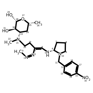 C/N=N\C(=C/N[C@@H]1CCCN1Cc1ccc([N+](=O)[O-])cc1)CCN(C)[C@H]1C[C@@H](C)O[C@@H](O)[C@@H]1O